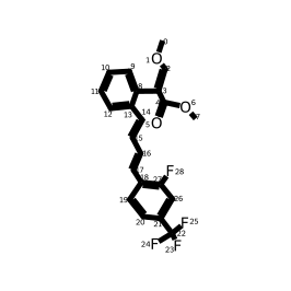 CO/C=C(/C(=O)OC)c1ccccc1/C=C/C=C/c1ccc(C(F)(F)F)cc1F